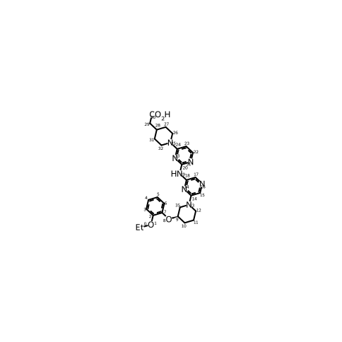 CCOc1ccccc1O[C@@H]1CCCN(c2cncc(Nc3nccc(N4CCC(CC(=O)O)CC4)n3)n2)C1